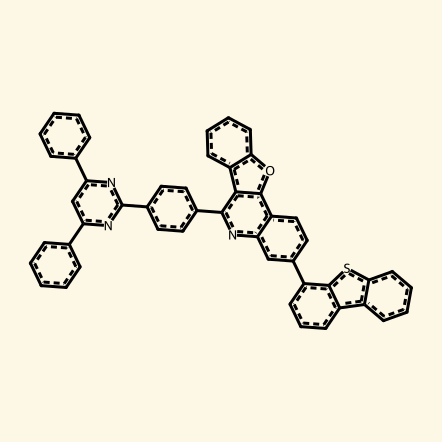 c1ccc(-c2cc(-c3ccccc3)nc(-c3ccc(-c4nc5cc(-c6cccc7c6sc6ccccc67)ccc5c5oc6ccccc6c45)cc3)n2)cc1